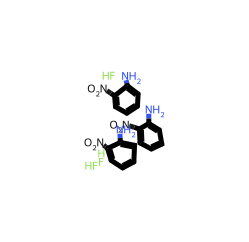 F.F.F.Nc1ccccc1[N+](=O)[O-].Nc1ccccc1[N+](=O)[O-].Nc1ccccc1[N+](=O)[O-]